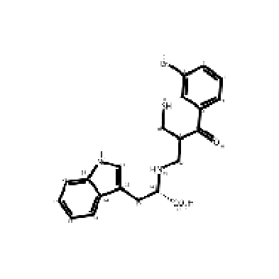 O=C(c1cccc(Br)c1)C(CS)CN[C@@H](Cc1c[nH]c2ccccc12)C(=O)O